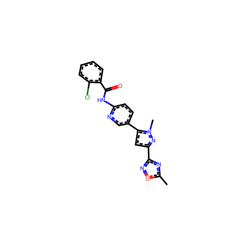 Cc1nc(-c2cc(-c3ccc(NC(=O)c4ccccc4Cl)nc3)n(C)n2)no1